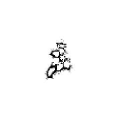 CCC(Cc1ccccc1)N(Cc1ccccc1)C(=O)OCc1cncs1